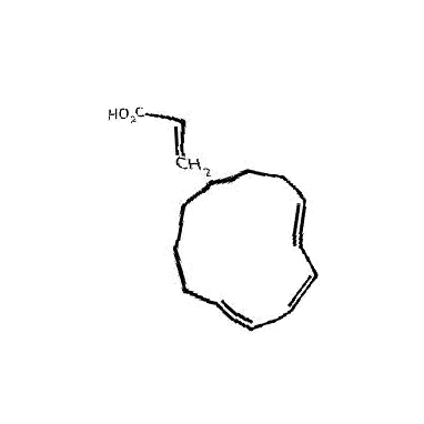 C1=C\C=C\CCCCCC/C=C/1.C=CC(=O)O